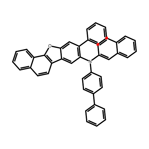 c1ccc(-c2ccc(N(c3ccc4ccccc4c3)c3cc4c(cc3-c3ccccc3)oc3c5ccccc5ccc43)cc2)cc1